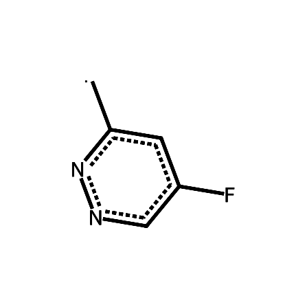 [CH2]c1cc(F)cnn1